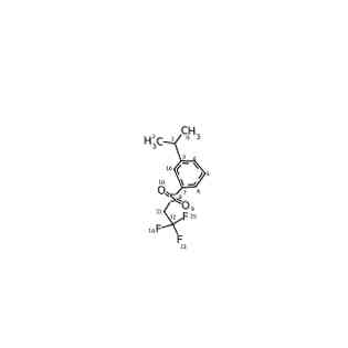 CC(C)c1cccc(S(=O)(=O)CC(F)(F)F)c1